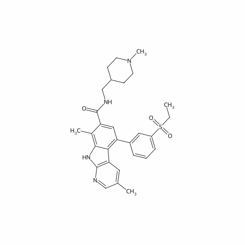 CCS(=O)(=O)c1cccc(-c2cc(C(=O)NCC3CCN(C)CC3)c(C)c3[nH]c4ncc(C)cc4c23)c1